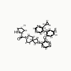 C[C@H]1CN[C@H](C(=O)N2CCC3(CC2)CN(c2ncnnc2Oc2ccc(F)cc2-c2cncnc2C2CC2)C3)C1